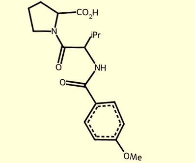 COc1ccc(C(=O)NC(C(=O)N2CCCC2C(=O)O)C(C)C)cc1